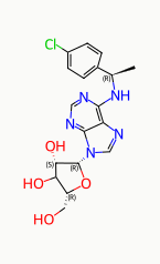 C[C@@H](Nc1ncnc2c1ncn2[C@@H]1O[C@H](CO)C(O)[C@@H]1O)c1ccc(Cl)cc1